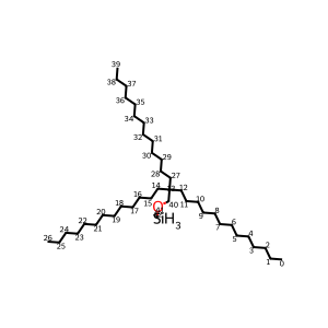 CCCCCCCCCCCCCC(CCCCCCCCCCCCC)(CCCCCCCCCCCCC)CO[SiH3]